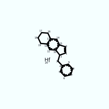 C1=CC(Cc2ccccc2)c2cc3c(cc21)CCCC3.[Hf]